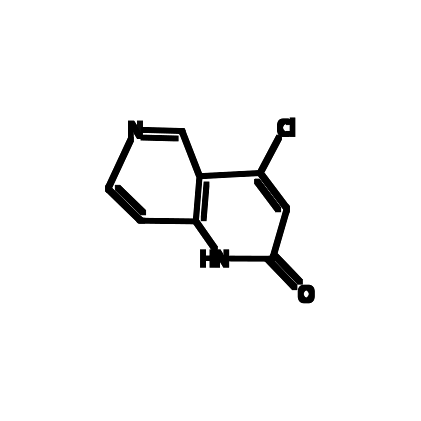 O=c1cc(Cl)c2cnccc2[nH]1